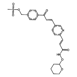 CS(=O)(=O)OCc1ccc(C(=O)C=Cc2ccc(C=CC(=O)NOC3CCCCO3)nc2)cc1